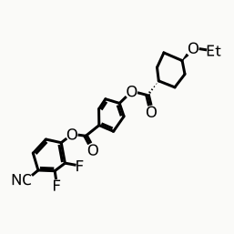 CCO[C@H]1CC[C@H](C(=O)Oc2ccc(C(=O)Oc3ccc(C#N)c(F)c3F)cc2)CC1